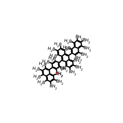 Bc1c(B)c(-c2c3c(B)c(B)c(B)c(B)c3c(-c3c(B)c(B)c4c(B)c(B)c(B)c(B)c4c3B)c3c(B)c(B)c(B)c(B)c23)c(B)c(B)c1-c1c(B)c(B)c(B)c2c(B)c(B)c(B)c(B)c12